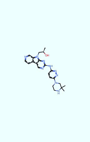 C[C@@H](O)Cn1c2cnccc2c2cnc(Nc3ccc(N4CCNC(C)(C)C4)nn3)nc21